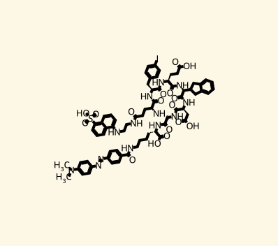 CN(C)c1ccc(/N=N/c2ccc(C(=O)NCCCC[C@H](NC(=O)CNC(=O)[C@H](CC(=O)O)NC(=O)[C@@H](NC(=O)[C@H](CCC(=O)O)NC(=O)[C@H](Cc3ccc(I)cc3)NC(=O)[C@@H](N)CCC(=O)NCCNc3cccc4c(S(=O)(=O)O)cccc34)C3Cc4ccccc4C3)C(=O)O)cc2)cc1